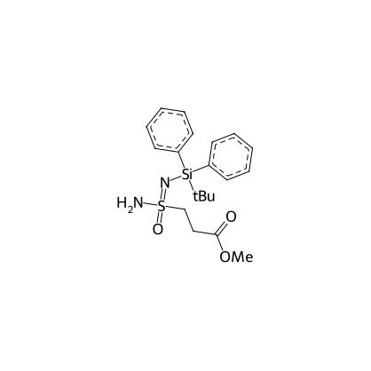 COC(=O)CCS(N)(=O)=N[Si](c1ccccc1)(c1ccccc1)C(C)(C)C